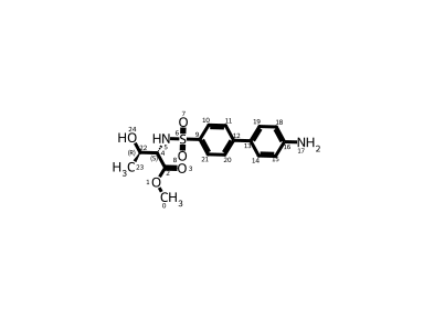 COC(=O)[C@@H](NS(=O)(=O)c1ccc(-c2ccc(N)cc2)cc1)[C@@H](C)O